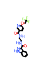 O=C(NCCNC(=O)c1n[nH]c2ccccc12)c1ccc(OCC(F)(F)F)nc1